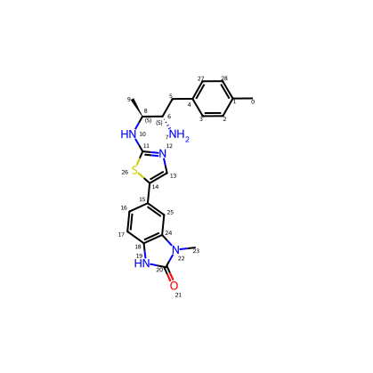 Cc1ccc(C[C@H](N)[C@H](C)Nc2ncc(-c3ccc4[nH]c(=O)n(C)c4c3)s2)cc1